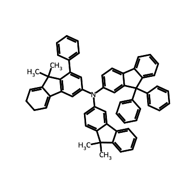 CC1(C)C2=CCCC=C2c2cc(N(c3ccc4c(c3)-c3ccccc3C4(C)C)c3ccc4c(c3)C(c3ccccc3)(c3ccccc3)c3ccccc3-4)cc(-c3ccccc3)c21